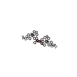 CC1(C)c2ccccc2-c2c(-c3nc(-c4ccccc4)nc(-c4cccc5oc6ccc(-c7ccc8c(c7)c7cc(-c9ccc(-c%10nc(-c%11cccc%12c%11-c%11ccccc%11C%12(C)C)nc(-c%11cccc%12oc%13ccc(-c%14ccc%15c(c%14)c%14ccccc%14n%15-c%14ccccc%14)cc%13c%11%12)n%10)c%10c9sc9ccccc9%10)ccc7n8-c7ccccc7)cc6c45)n3)cccc21